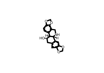 O[C@@H]1Cc2cc3c(cc2[C@H]2NCc4c(ccc5c4OCO5)[C@@H]12)OCO3